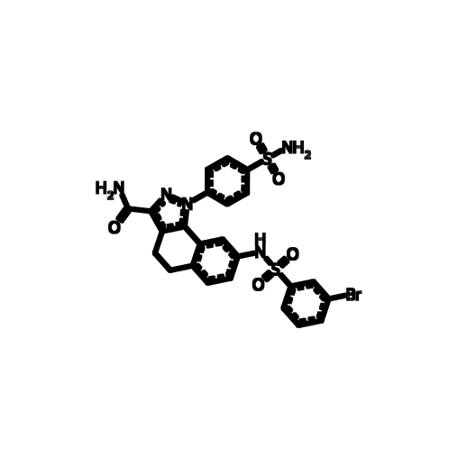 NC(=O)c1nn(-c2ccc(S(N)(=O)=O)cc2)c2c1CCc1ccc(NS(=O)(=O)c3cccc(Br)c3)cc1-2